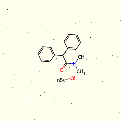 CCCCO.CN(C)C(=O)C(c1ccccc1)c1ccccc1